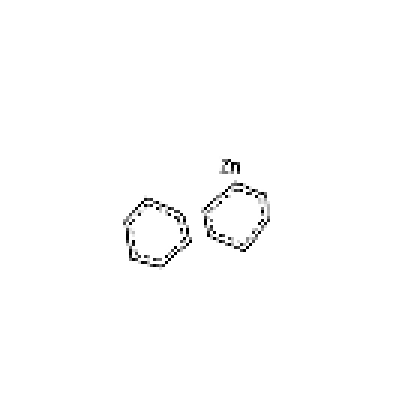 [Zn].c1ccccc1.c1ccccc1